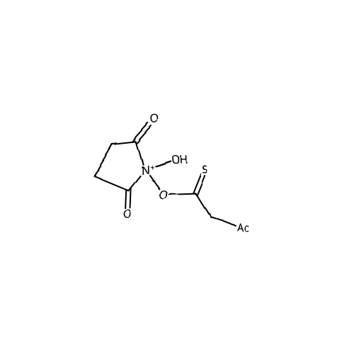 CC(=O)CC(=S)O[N+]1(O)C(=O)CCC1=O